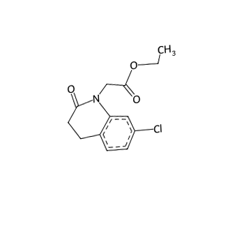 CCOC(=O)CN1C(=O)CCc2ccc(Cl)cc21